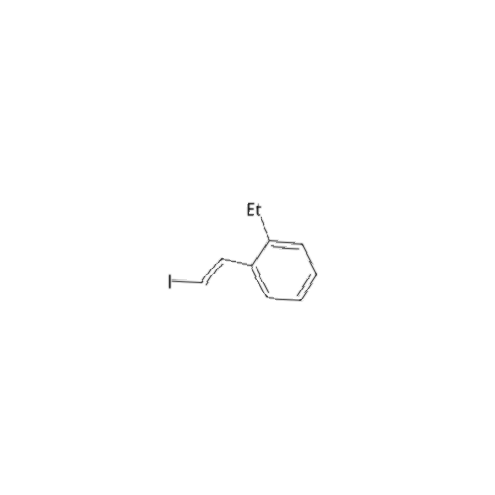 CCc1ccccc1/C=C/I